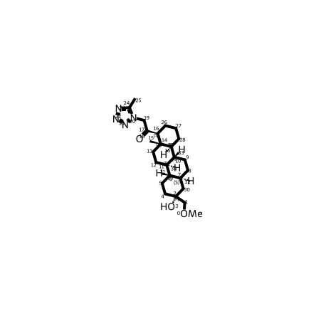 COC[C@@]1(O)CC[C@H]2[C@@H](CC[C@@H]3[C@@H]2CC[C@]2(C)[C@@H](C(=O)Cn4nnnc4C)CCC[C@@H]32)C1